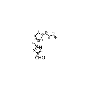 O=Cc1cnc(C[C@@H]2CCN(CCCF)C2)s1